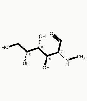 CN[C@@H](C=O)[C@@H](O)[C@@H](O)[C@H](O)CO